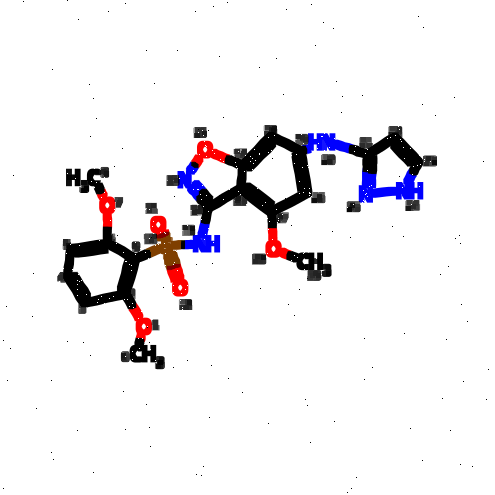 COc1cccc(OC)c1S(=O)(=O)Nc1noc2cc(Nc3cc[nH]n3)cc(OC)c12